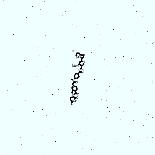 CNc1cc(-c2ccc3cc(C#N)cnn23)ncc1-c1nnc(C2CCC(N(C)C(=O)Cc3ccc4c(c3)CN(C3CCC(=O)NC3=O)C4=O)CC2)s1